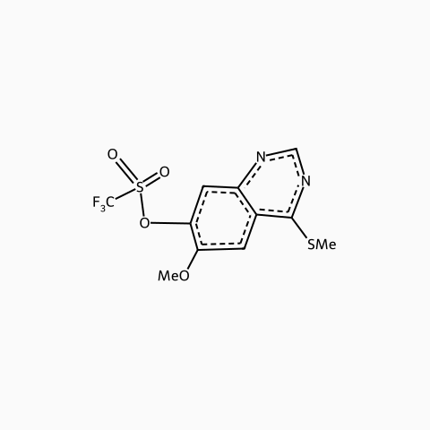 COc1cc2c(SC)ncnc2cc1OS(=O)(=O)C(F)(F)F